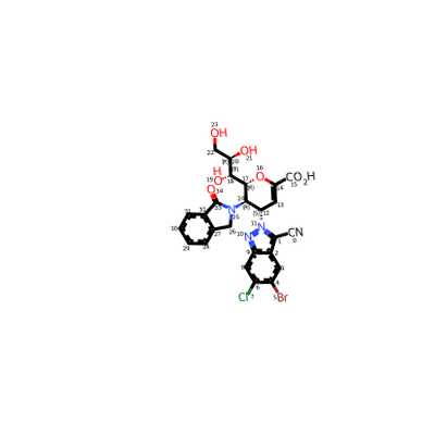 N#Cc1c2cc(Br)c(Cl)cc2nn1[C@H]1C=C(C(=O)O)O[C@@H]([C@H](O)[C@H](O)CO)[C@@H]1N1Cc2ccccc2C1=O